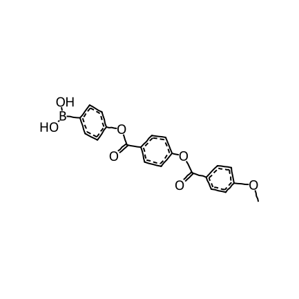 COc1ccc(C(=O)Oc2ccc(C(=O)Oc3ccc(B(O)O)cc3)cc2)cc1